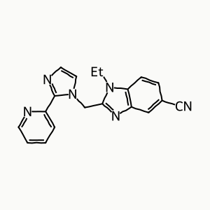 CCn1c(Cn2ccnc2-c2ccccn2)nc2cc(C#N)ccc21